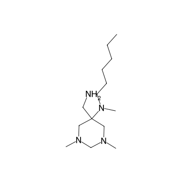 CCCCCCN(C)C1(CN)CN(C)CN(C)C1